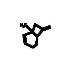 CC12C=CCCC1C(=O)C2